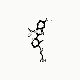 Cc1c(OCCO)ccnc1-c1nc2cc(C(F)(F)F)ccc2n1[S+](C)[O-]